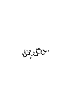 Cn1nncc1C(=O)Nc1ccc(-c2ccc(Cl)cc2Cl)c(N)n1